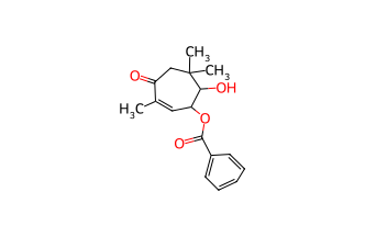 CC1=CC(OC(=O)c2ccccc2)C(O)C(C)(C)CC1=O